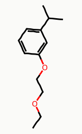 CCOCCOc1cccc(C(C)C)c1